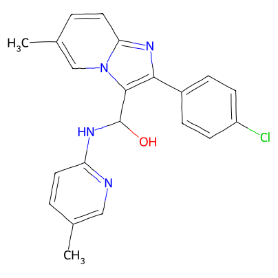 Cc1ccc(NC(O)c2c(-c3ccc(Cl)cc3)nc3ccc(C)cn23)nc1